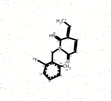 C/C=C1/C=CC(=O)N(Cc2c(C)cccc2F)C1=N